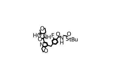 CC(C)(C)SC(=O)CNC(=O)c1ccc(Cc2cc(C(=O)N[C@H]3CCOC[C@@H]3O)nc3c2OCC3)cc1F